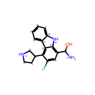 NC(O)c1cc(F)c(C2CCNC2)c2c1[nH]c1ccccc12